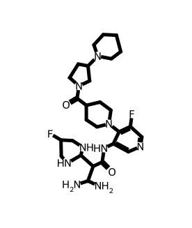 NC(N)C(C(=O)Nc1cncc(F)c1N1CCC(C(=O)N2CCC(N3CCCCC3)C2)CC1)C1NCC(F)CN1